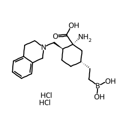 Cl.Cl.N[C@]1(C(=O)O)C[C@H](CCB(O)O)CC[C@H]1CN1CCc2ccccc2C1